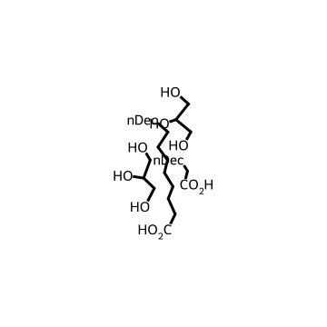 CCCCCCCCCCCC(=O)O.CCCCCCCCCCCCCCCCCC(=O)O.OCC(O)CO.OCC(O)CO